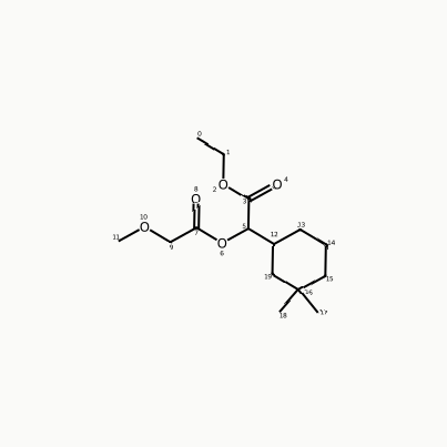 CCOC(=O)C(OC(=O)COC)C1CCCC(C)(C)C1